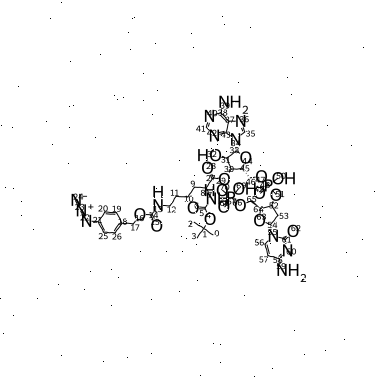 CC(C)(C)OC(=O)NC(CCCCNC(=O)OCc1ccc(N=[N+]=[N-])cc1)C(=O)O[C@H]1[C@@H](O)[C@H](n2cnc3c(N)ncnc32)O[C@@H]1COP(=O)(O)O[C@H]1C[C@H](n2ccc(N)nc2=O)O[C@H]1COP(=O)(O)O